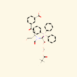 C[C@@H](O)[C@H]1C(=O)N(C(C(=O)OCOC(=O)C(C)(C)C)=P(c2ccccc2)(c2ccccc2)c2ccccc2)[C@@H]1CC(=O)c1cccc(C(=O)O)c1